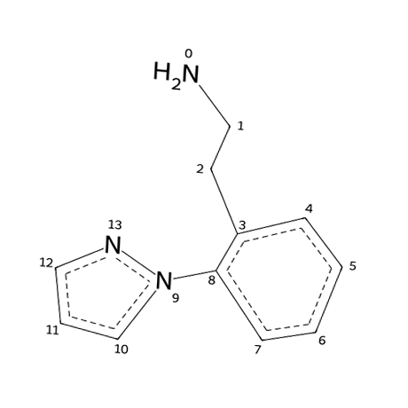 NCCc1ccccc1-n1cccn1